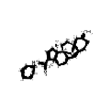 C=C1CCC2=CC3=CC[C@]4(C)C(C(=O)Nc5ccccc5)=CC[C@H]4[C@@]34CC[C@]2(C1)O4